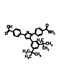 CC(C)(C)c1cc(-c2cc(-c3ccc(C(=O)O)cc3)nn2-c2ccc(C(N)=O)cc2)cc(C(C)(C)C)c1